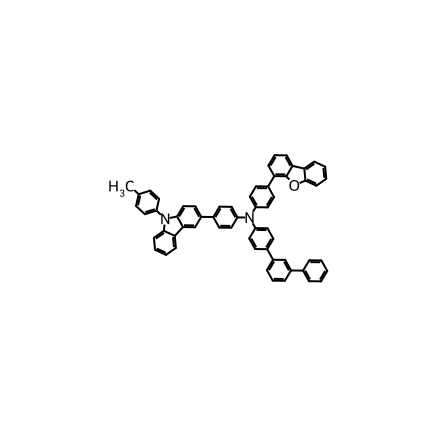 Cc1ccc(-n2c3ccccc3c3cc(-c4ccc(N(c5ccc(-c6cccc(-c7ccccc7)c6)cc5)c5ccc(-c6cccc7c6oc6ccccc67)cc5)cc4)ccc32)cc1